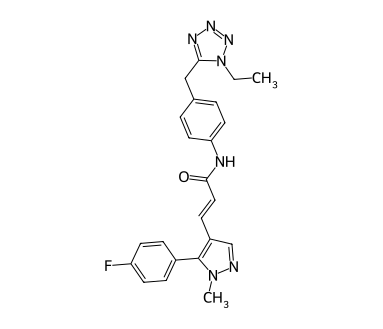 CCn1nnnc1Cc1ccc(NC(=O)C=Cc2cnn(C)c2-c2ccc(F)cc2)cc1